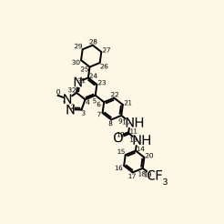 Cn1ncc2c(-c3ccc(NC(=O)Nc4cccc(C(F)(F)F)c4)cc3)cc(C3CCCCC3)nc21